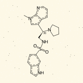 Cn1cc([C@H](CNS(=O)(=O)c2ccc3cc[nH]c3c2)N2CCCC2)c2cccnc21